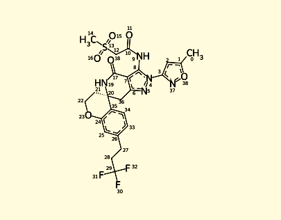 Cc1cc(-n2nc3c(c2NC(=O)CS(C)(=O)=O)C(=O)N[C@@]2(CCOc4cc(CCC(F)(F)F)ccc42)C3)no1